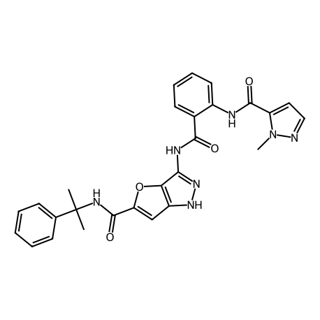 Cn1nccc1C(=O)Nc1ccccc1C(=O)Nc1n[nH]c2cc(C(=O)NC(C)(C)c3ccccc3)oc12